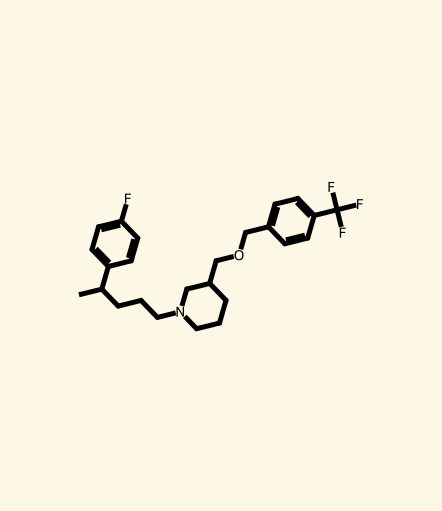 CC(CCCN1CCCC(COCc2ccc(C(F)(F)F)cc2)C1)c1ccc(F)cc1